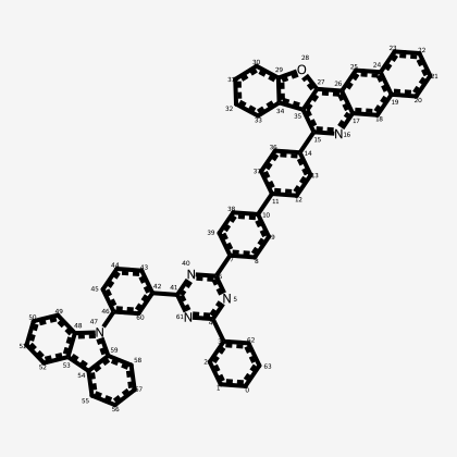 c1ccc(-c2nc(-c3ccc(-c4ccc(-c5nc6cc7ccccc7cc6c6oc7ccccc7c56)cc4)cc3)nc(-c3cccc(-n4c5ccccc5c5ccccc54)c3)n2)cc1